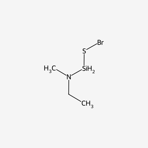 CCN(C)[SiH2]SBr